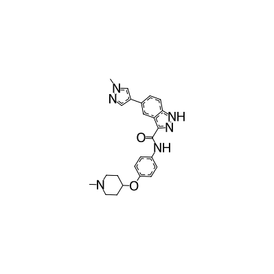 CN1CCC(Oc2ccc(NC(=O)c3n[nH]c4ccc(-c5cnn(C)c5)cc34)cc2)CC1